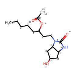 CCCCCC(CCN1C(=O)NC2CC(O)CC21)OC(C)=O